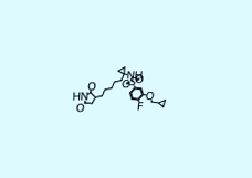 O=C1CC(CCCCCC2(NS(=O)(=O)c3ccc(F)c(OCC4CC4)c3)CC2)C(=O)N1